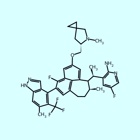 Cc1cc2[nH]ncc2c(-c2cc3c4c(cc(OC[C@@H]5CC6(CC6)CN5C)cc4c2F)C([C@@H](C)c2cc(F)cnc2N)[C@@H](C)CC3)c1C(F)(F)F